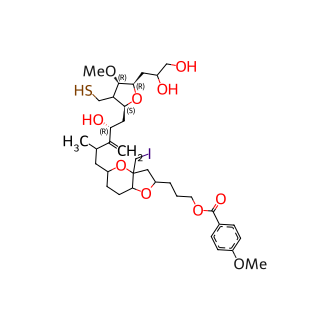 C=C(C(C)CC1CCC2OC(CCCOC(=O)c3ccc(OC)cc3)CC2(CI)O1)[C@H](O)C[C@@H]1O[C@H](CC(O)CO)[C@H](OC)C1CS